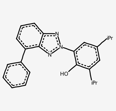 CC(C)c1cc(C(C)C)c(O)c(-n2nc3cccc(-c4ccccc4)c3n2)c1